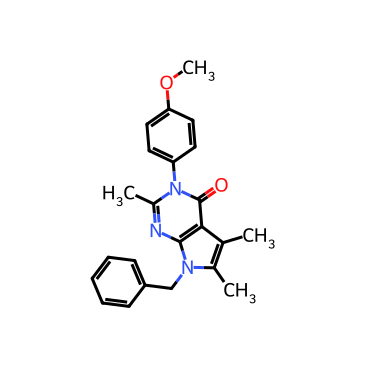 COc1ccc(-n2c(C)nc3c(c(C)c(C)n3Cc3ccccc3)c2=O)cc1